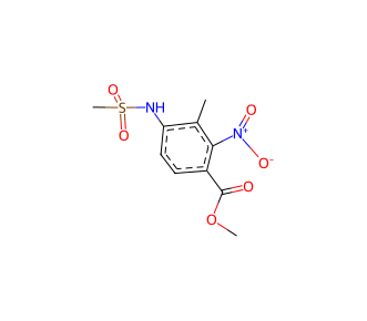 COC(=O)c1ccc(NS(C)(=O)=O)c(C)c1[N+](=O)[O-]